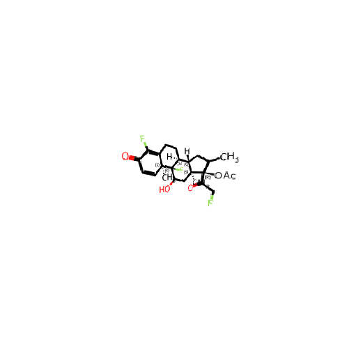 CC(=O)O[C@]1(C(=O)CF)C(C)C[C@H]2[C@@H]3CCC4=C(F)C(=O)C=C[C@]4(C)[C@@]3(F)C(O)C[C@@]21C